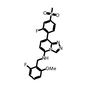 COc1cccc(F)c1CNc1ccc(-c2ccc(S(C)(=O)=O)cc2F)c2nncn12